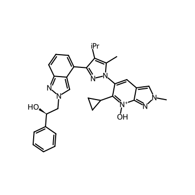 Cc1c(C(C)C)c(-c2cccc3nn(C[C@H](O)c4ccccc4)cc23)nn1-c1cc2cn(C)nc2[n+](O)c1C1CC1